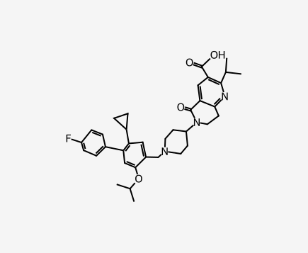 CC(C)Oc1cc(-c2ccc(F)cc2)c(C2CC2)cc1CN1CCC(N2CCc3nc(C(C)C)c(C(=O)O)cc3C2=O)CC1